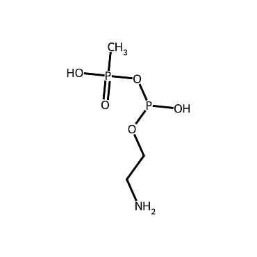 CP(=O)(O)OP(O)OCCN